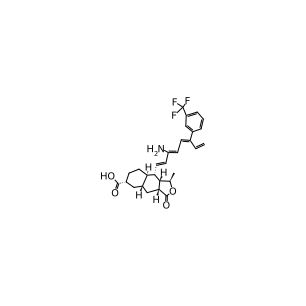 C=C\C(=C/C=C(N)/C=C/[C@H]1[C@@H]2CC[C@@H](C(=O)O)C[C@H]2C[C@H]2C(=O)O[C@H](C)[C@@H]12)c1cccc(C(F)(F)F)c1